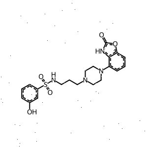 O=c1[nH]c2c(N3CCN(CCCNS(=O)(=O)c4cccc(O)c4)CC3)cccc2o1